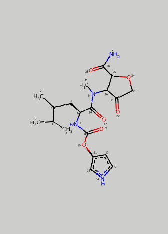 CC(C)C(C)C[C@H](NC(=O)Oc1cc[nH]c1)C(=O)N(C)C1C(=O)COC1C(N)=O